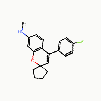 CCNc1ccc2c(c1)OC1(C=C2c2ccc(F)cc2)CCCC1